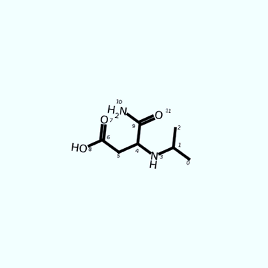 CC(C)NC(CC(=O)O)C(N)=O